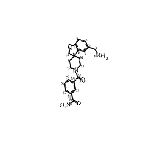 NCc1ccc2c(c1)C1(CCN(C(=O)c3cccc(C(N)=O)c3)CC1)CO2